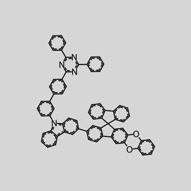 c1ccc(-c2nc(-c3ccccc3)nc(-c3ccc(-c4cccc(-n5c6ccccc6c6cc(-c7ccc8c(c7)C7(c9ccccc9-c9ccccc97)c7cc9c(cc7-8)Oc7ccccc7O9)ccc65)c4)cc3)n2)cc1